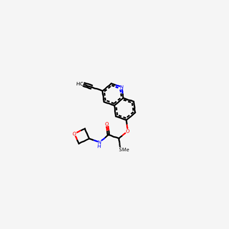 C#Cc1cnc2ccc(OC(SC)C(=O)NC3COC3)cc2c1